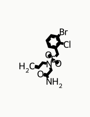 C=CCN(CC(N)=O)S(=O)(=O)Cc1cccc(Br)c1Cl